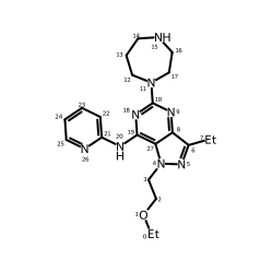 CCOCCn1nc(CC)c2nc(N3CCCNCC3)nc(Nc3ccccn3)c21